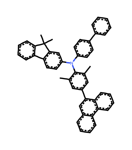 Cc1cc(-c2cc3ccccc3c3ccccc23)cc(C)c1N(c1ccc(-c2ccccc2)cc1)c1ccc2c(c1)C(C)(C)c1ccccc1-2